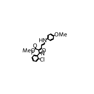 COC(=O)c1c(-c2c(F)cccc2Cl)noc1/C=C/Nc1ccc(OC)cc1